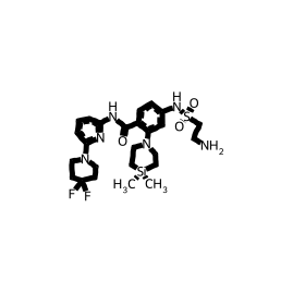 C[Si]1(C)CCN(c2cc(NS(=O)(=O)CCN)ccc2C(=O)Nc2cccc(N3CCC(F)(F)CC3)n2)CC1